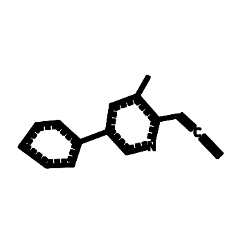 C=C=Cc1ncc(-c2ccccc2)cc1C